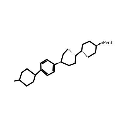 CCCCC[C@H]1CC[C@H]([C@H]2CC[C@H](c3ccc(C4CCC(C)CC4)cc3)CC2)CC1